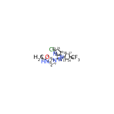 C=CC(=O)NC1CCN(c2nn(-c3ccc(C(F)(F)F)cc3)c3ccc(Cl)nc23)C1